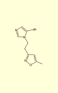 Cc1cc(CCn2cncc2C(C)C)no1